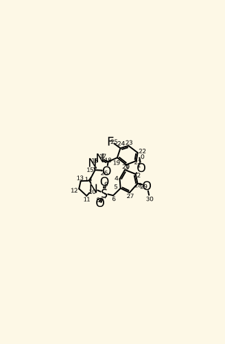 COc1ccc(CS(=O)(=O)N2CCCC2c2nnc(-c3ccccc3F)o2)cc1OC